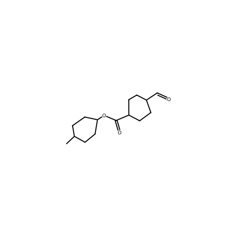 CC1CCC(OC(=O)C2CCC(C=O)CC2)CC1